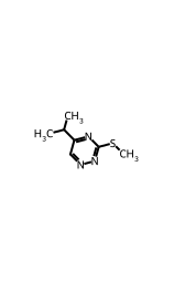 CSc1nncc(C(C)C)n1